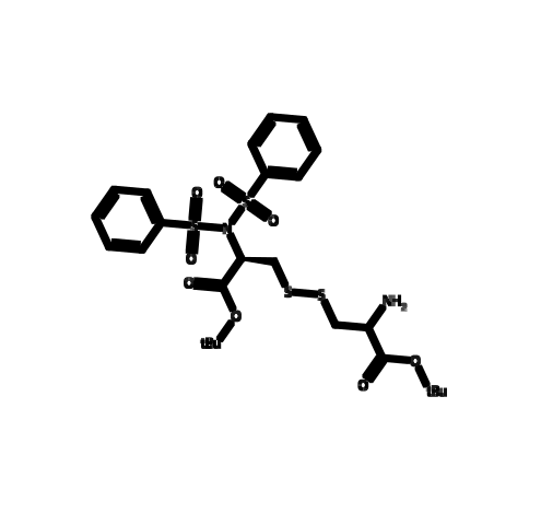 CC(C)(C)OC(=O)C(N)CSSC[C@@H](C(=O)OC(C)(C)C)N(S(=O)(=O)c1ccccc1)S(=O)(=O)c1ccccc1